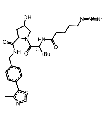 Cc1ncsc1-c1ccc(CNC(=O)C2CC(O)CN2C(=O)[C@@H](NC(=O)CCCCN=[N+]=[N-])C(C)(C)C)cc1